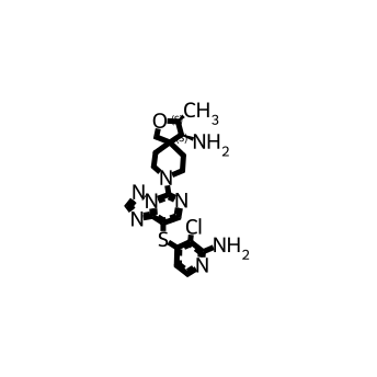 C[C@@H]1OCC2(CCN(c3ncc(Sc4ccnc(N)c4Cl)c4ncnn34)CC2)[C@@H]1N